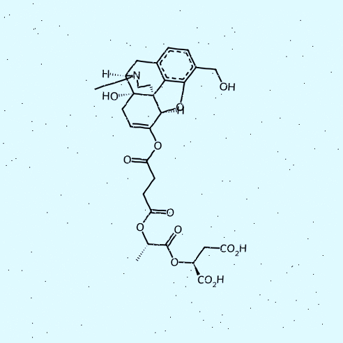 C[C@H](OC(=O)CCC(=O)OC1=CC[C@@]2(O)[C@H]3Cc4ccc(CO)c5c4[C@@]2(CCN3C)[C@H]1O5)C(=O)O[C@@H](CC(=O)O)C(=O)O